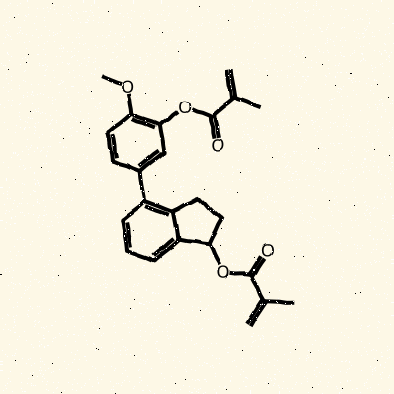 C=C(C)C(=O)Oc1cc(-c2cccc3c2CCC3OC(=O)C(=C)C)ccc1OC